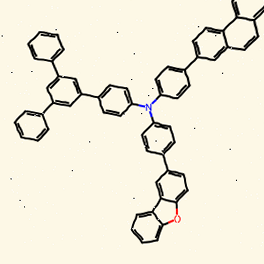 c1ccc(-c2cc(-c3ccccc3)cc(-c3ccc(N(c4ccc(-c5ccc6c(ccc7ccccc76)c5)cc4)c4ccc(-c5ccc6oc7ccccc7c6c5)cc4)cc3)c2)cc1